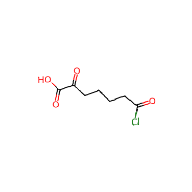 O=C(Cl)CCCCC(=O)C(=O)O